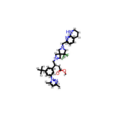 COC(=O)C[C@H](CN1CC2(CN(Cc3ccc4c(n3)NCCC4)CC2(F)F)C1)c1cc(-n2nc(C)cc2C)cc(C(C)(C)C)c1